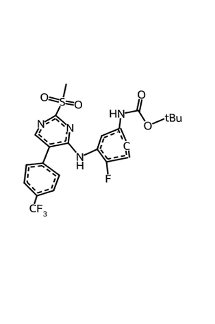 CC(C)(C)OC(=O)Nc1ccc(F)c(Nc2nc(S(C)(=O)=O)ncc2-c2ccc(C(F)(F)F)cc2)c1